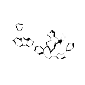 CC1(C)c2ccccc2-c2cc3c(cc21)C(c1cccc(-c2ccccc2)c1)CCc1ccc(-c2ccc4c(c2)c2ccccc2n4-c2ccccc2)cc1-3